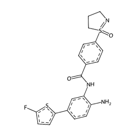 Nc1ccc(-c2ccc(F)s2)cc1NC(=O)c1ccc(S2(=O)=NCCC2)cc1